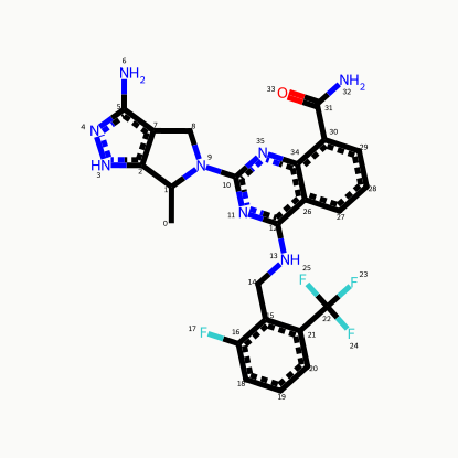 CC1c2[nH]nc(N)c2CN1c1nc(NCc2c(F)cccc2C(F)(F)F)c2cccc(C(N)=O)c2n1